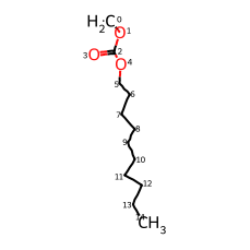 [CH2]OC(=O)OCCCCCCCCCC